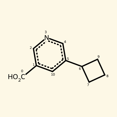 O=C(O)c1cncc(C2CCC2)c1